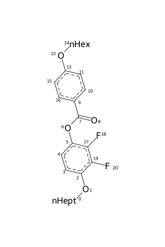 CCCCCCCOc1ccc(OC(=O)c2ccc(OCCCCCC)cc2)c(F)c1F